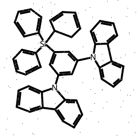 C1=CCC([Si](c2ccccc2)(c2ccccc2)c2cc(-n3c4ccccc4c4ccccc43)cc(-n3c4ccccc4c4ccccc43)c2)C=C1